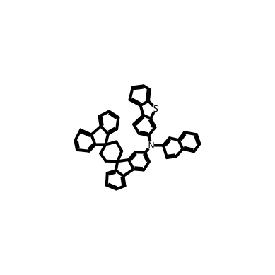 c1ccc2c(c1)-c1ccccc1C21CCC2(CC1)c1ccccc1-c1ccc(N(c3ccc4ccccc4c3)c3ccc4c(c3)sc3ccccc34)cc12